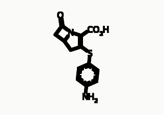 Nc1ccc(SC2=C(C(=O)O)N3C(=O)CC3C2)cc1